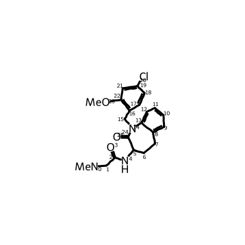 CNCC(=O)NC1CCc2ccccc2N(Cc2ccc(Cl)cc2OC)C1=O